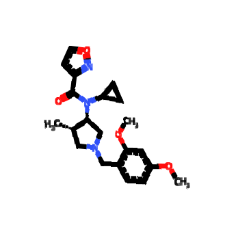 COc1ccc(CN2C[C@H](C)[C@@H](N(C(=O)c3ccon3)C3CC3)C2)c(OC)c1